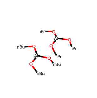 CC(C)[O][Al]([O]C(C)C)[O]C(C)C.CCCC[O][Al]([O]CCCC)[O]CCCC